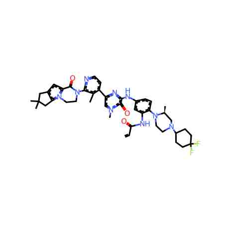 C=CC(=O)Nc1cc(Nc2nc(-c3ccnc(N4CCn5c(cc6c5CC(C)(C)C6)C4=O)c3C)cn(C)c2=O)ccc1N1CCN(C2CCC(F)(F)CC2)C[C@@H]1C